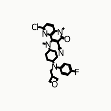 CN(c1c(C#N)c(=O)n(C)c2ccc(Cl)nc12)C1CCC(N(CC2COC2)c2ccc(F)cc2)CC1